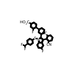 N#Cc1cccc(C#N)c1-c1c(-c2cccc(-c3ccc(C(=O)O)cc3F)c2)n(Sc2ccc(C(F)F)cc2)c2ccc(F)cc12